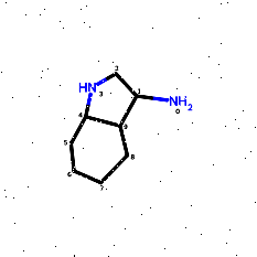 NC1CNC2CCCCC12